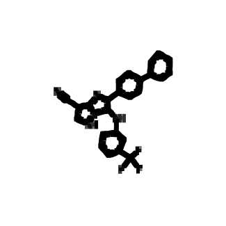 N#Cc1c[nH]n2c(Nc3cccc(C(F)(F)F)c3)c(-c3ccc(-c4ccccc4)cc3)nc12